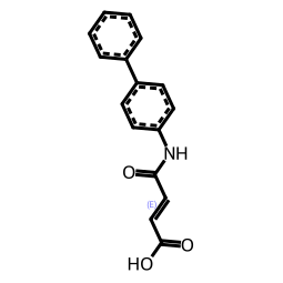 O=C(O)/C=C/C(=O)Nc1ccc(-c2ccccc2)cc1